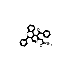 Cc1ccccc1-c1c(C(=O)c2ccccc2)cnc(CC(N)=O)c1C(=O)c1ccccc1